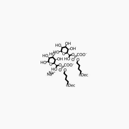 CCCCCCCCCCCCCCOP(=O)(OC(O)[C@H]1O[C@@H](O)[C@H](O)[C@@H](O)[C@@H]1O)C(=O)[O-].CCCCCCCCCCCCCCOP(=O)(OC(O)[C@H]1O[C@@H](O)[C@H](O)[C@@H](O)[C@@H]1O)C(=O)[O-].[Na+].[Na+]